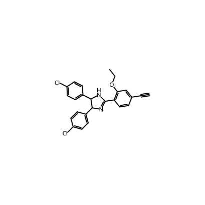 C#Cc1ccc(C2=NC(c3ccc(Cl)cc3)C(c3ccc(Cl)cc3)N2)c(OCC)c1